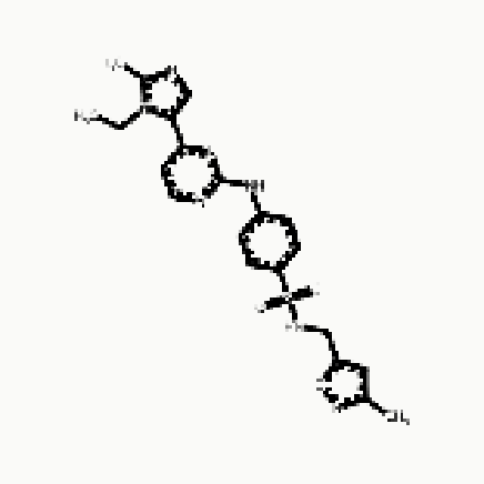 CCn1c(-c2ccnc(Nc3ccc(S(=O)(=O)NCc4cc(C)no4)cc3)n2)cnc1C